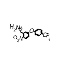 NOCc1cc(Oc2ccc(C(F)(F)F)cc2)ccc1[N+](=O)[O-]